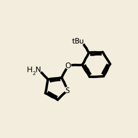 CC(C)(C)c1ccccc1Oc1sccc1N